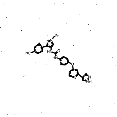 CC(C)n1cc(NC(=O)Nc2ccc(Oc3ccnc(-c4cn[nH]c4)c3)cc2)c(-c2ccc(C#N)cc2)n1